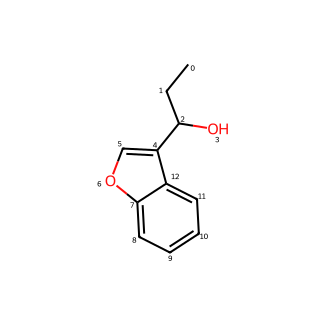 CCC(O)c1coc2ccccc12